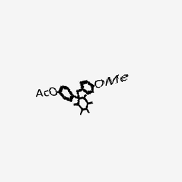 COc1ccc(CC2(c3ccc(OC(C)=O)cc3)C(C)C(C)C(C)C(C)C2C)cc1